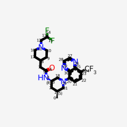 C[C@H]1C[C@@H](NC(=O)CC2CCN(CC(F)F)CC2)CN(c2ccc(C(F)(F)F)c3nccnc23)C1